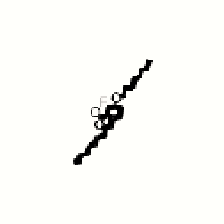 C=CCC/C=C/CCOc1ccc2cc(CC/C=C/CCC=C)oc(=O)c2c1F